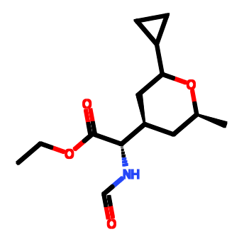 CCOC(=O)[C@@H](NC=O)[C@H]1CC(C2CC2)O[C@@H](C)C1